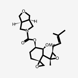 CO[C@H]1C([C@@]2(C)O[C@@H]2CC=C(C)C)[C@]2(CC[C@H]1OC(=O)N1C[C@H]3COC[C@H]3C1)CO2